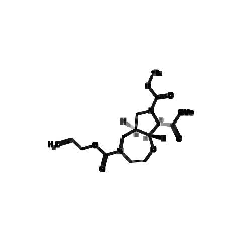 C=CCOC(=O)N1CCO[C@@H]2[C@@H](C1)CN(C(=O)OC(C)(C)C)[C@@H]2C(=O)OC